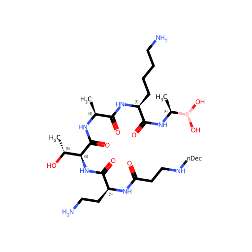 CCCCCCCCCCNCCC(=O)N[C@@H](CCN)C(=O)N[C@H](C(=O)N[C@@H](C)C(=O)N[C@@H](CCCCN)C(=O)N[C@@H](C)B(O)O)[C@@H](C)O